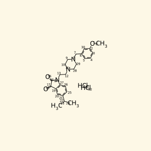 COc1cccc(CN2CCN(CCN3C(=O)C(=O)c4cc(C(C)C)ccc43)CC2)c1.Cl.Cl